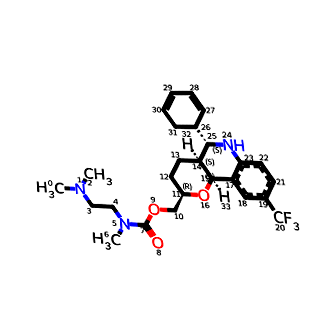 CN(C)CCN(C)C(=O)OC[C@H]1CC[C@@H]2[C@H](O1)c1cc(C(F)(F)F)ccc1N[C@H]2C1C=CC=CC1